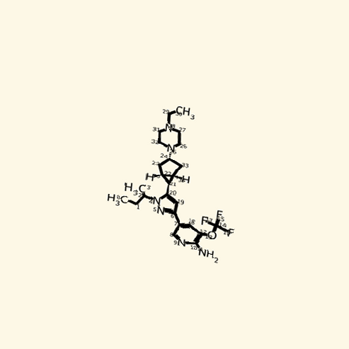 CCC(C)n1nc(-c2cnc(N)c(OC(F)(F)F)c2)cc1[C@H]1[C@@H]2C[C@H](N3CCN(CC)CC3)C[C@@H]21